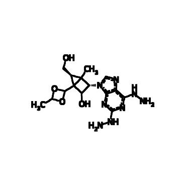 CC1OC(C23C(O)[C@@H](n4cnc5c(NN)nc(NN)nc54)C2(C)[C@@H]3CO)O1